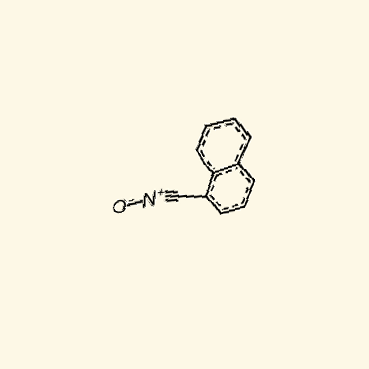 [O-][N+]#Cc1cccc2ccccc12